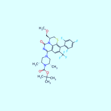 COC[C@H]1CSc2c(-c3c(F)cc(F)cc3F)c(C(F)(F)F)cc3c(N4C[C@@H](C)N(C(=O)OC(C)(C)C)[C@@H](C)C4)nc(=O)n1c23